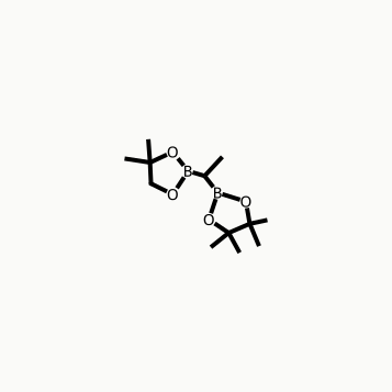 CC(B1OCC(C)(C)O1)B1OC(C)(C)C(C)(C)O1